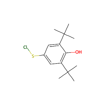 CC(C)(C)c1cc(SCl)cc(C(C)(C)C)c1O